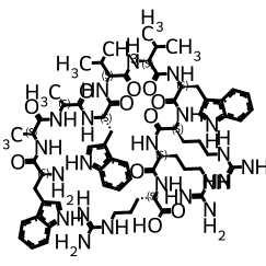 CC(C)[C@H](NC(=O)[C@H](Cc1c[nH]c2ccccc12)NC(=O)[C@H](C)NC(=O)[C@H](C)NC(=O)[C@@H](N)Cc1c[nH]c2ccccc12)C(=O)N[C@H](C(=O)N[C@@H](Cc1c[nH]c2ccccc12)C(=O)N[C@@H](CCCNC(=N)N)C(=O)N[C@@H](CCCNC(=N)N)C(=O)N[C@@H](CCCNC(=N)N)C(=O)O)C(C)C